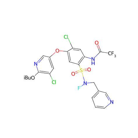 CC(C)COc1ncc(Oc2cc(S(=O)(=O)N(F)Cc3cccnc3)c(NC(=O)C(F)(F)F)cc2Cl)cc1Cl